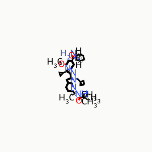 COc1cc(C(=O)N2[C@H]3CC[C@@H]2[C@H](N)C3)cc2nc(-c3cc4ccc([C@@H](C)NC(=O)C(C)(C)C)nc4n3CC34CC(C3)C4)c(C3CC3)n12